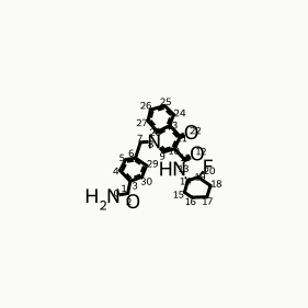 NC(=O)c1ccc(Cn2cc(C(=O)N[C@H]3CCCC[C@@H]3F)c(=O)c3ccccc32)cc1